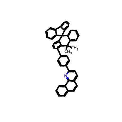 CC1(C)c2ccccc2C2(c3ccccc3-c3ccccc32)c2cccc(-c3ccc(-c4ccc5ccc6ccccc6c5n4)cc3)c21